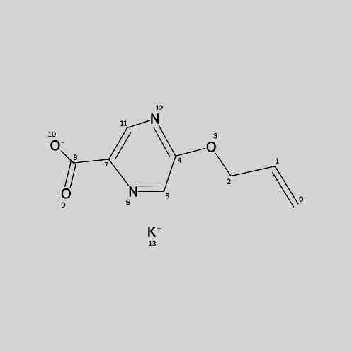 C=CCOc1cnc(C(=O)[O-])cn1.[K+]